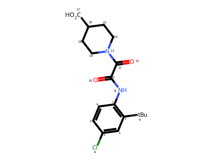 CC(C)(C)c1cc(Cl)ccc1NC(=O)C(=O)N1CCC(C(=O)O)CC1